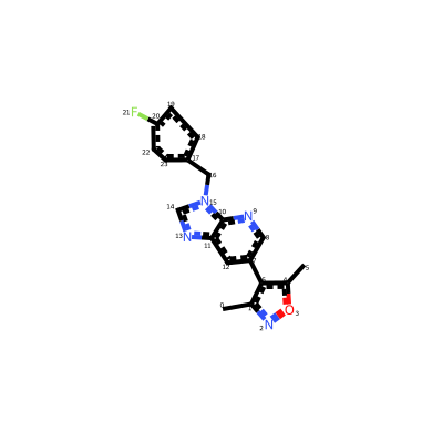 Cc1noc(C)c1-c1cnc2c(c1)ncn2Cc1ccc(F)cc1